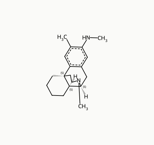 CNc1cc2c(cc1C)[C@]13CCCC[C@@H]1[C@H](C2)N(C)CC3